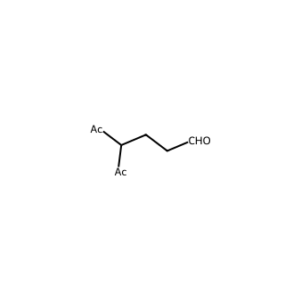 CC(=O)C(CCC=O)C(C)=O